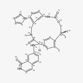 Cc1cc2ccc1[C@@H](C)COC(=O)Nc1ccc(-n3cccn3)c(c1)CN(C)C(=O)[C@@H]2Nc1ccc2cc[nH]c(=O)c2c1